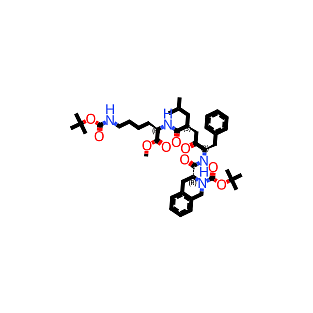 COC(=O)[C@@H](CCCCNC(=O)OC(C)(C)C)NC(=O)[C@H](CC(=O)[C@@H](Cc1ccccc1)NC(=O)[C@H]1Cc2ccccc2CN1C(=O)OC(C)(C)C)CC(C)C